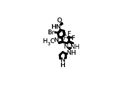 Cn1cc(C2=NC(NC3CCCNC3)NC=C2C(F)(F)F)c2ccc(NC=O)c(Br)c21